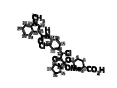 COC(OC1CCC(C(=O)O)CC1)(C(=O)C(Cl)c1ccc(NC(=O)c2cn(C)c3ccccc23)c(Cl)c1)N1CCCC1